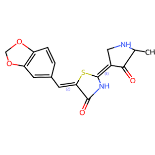 CC1NC/C(=c2/[nH]c(=O)/c(=C/c3ccc4c(c3)OCO4)s2)C1=O